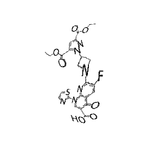 CCOC(=O)c1cc(C(=O)OCC)n(C2CN(c3nc4c(cc3F)c(=O)c(C(=O)O)cn4-c3nccs3)C2)n1